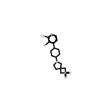 O=S1(=O)CC2(CCN(C3CCC(c4ccnc(C(F)(F)F)c4Cl)CC3)C2)C1